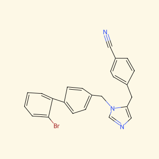 N#Cc1ccc(Cc2cncn2Cc2ccc(-c3ccccc3Br)cc2)cc1